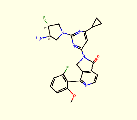 COc1cccc(F)c1-c1nccc2c1CN(c1cc(C3CC3)nc(N3C[C@@H](N)[C@H](F)C3)n1)C2=O